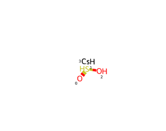 O=[SH]O.[CsH]